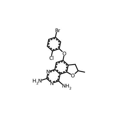 CC1Cc2c(Oc3cc(Br)ccc3Cl)cc3nc(N)nc(N)c3c2O1